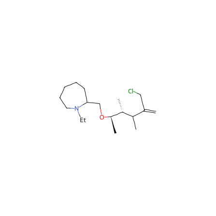 C=C(CCl)C(C)[C@@H](C)[C@@H](C)OCC1CCCCCN1CC